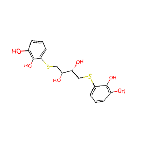 Oc1cccc(SCC(O)[C@H](O)CSc2cccc(O)c2O)c1O